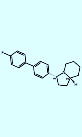 Fc1ccc(-c2ccc([C@H]3CC[C@H]4CCCCN43)cc2)cc1